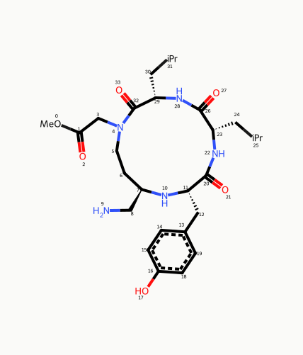 COC(=O)CN1CC[C@H](CN)N[C@@H](Cc2ccc(O)cc2)C(=O)N[C@@H](CC(C)C)C(=O)N[C@@H](CC(C)C)C1=O